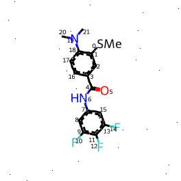 CSc1cc(C(=O)Nc2cc(F)c(F)c(F)c2)ccc1N(C)C